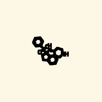 O=S(=O)(c1ccccc1)C1(NC2CCNCC2)CCc2ccccc21